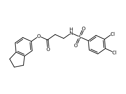 O=C(CCNS(=O)(=O)c1ccc(Cl)c(Cl)c1)Oc1ccc2c(c1)CCC2